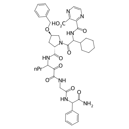 CCCC(NC(=O)[C@@H]1C[C@@H](OCc2ccccc2)CN1C(=O)C(NC(=O)c1nccnc1C(=O)O)C1CCCCC1)C(=O)C(=O)NCC(=O)NC(C(N)=O)c1ccccc1